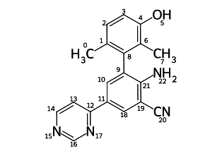 Cc1ccc(O)c(C)c1-c1cc(-c2ccncn2)cc(C#N)c1N